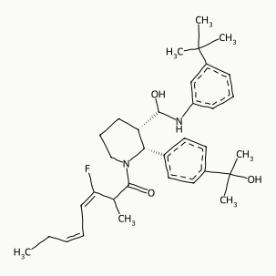 CC/C=C\C=C(\F)C(C)C(=O)N1CCC[C@H](C(O)Nc2cccc(C(C)(C)C)c2)[C@@H]1c1ccc(C(C)(C)O)cc1